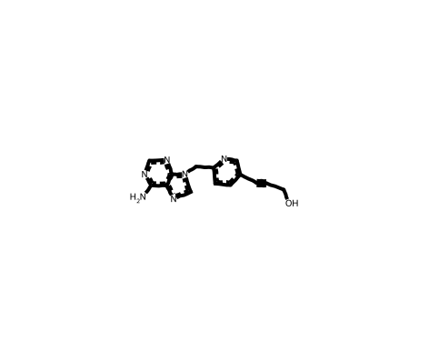 Nc1ncnc2c1ncn2Cc1ccc(C#CCO)cn1